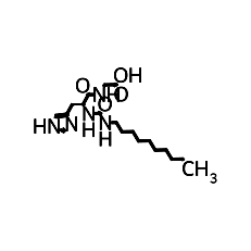 CCCCCCCCCCNC(=O)N[C@@H](Cc1c[nH]cn1)C(=O)NCC(=O)O